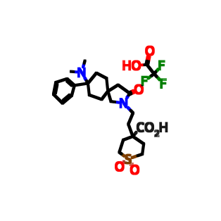 CN(C)C1(c2ccccc2)CCC2(CC1)CC(=O)N(CCC1(C(=O)O)CCS(=O)(=O)CC1)C2.O=C(O)C(F)(F)F